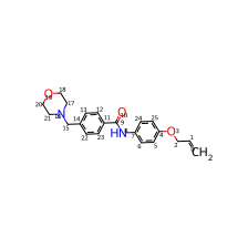 C=CCOc1ccc(NC(=O)c2ccc(CN3CCOCC3)cc2)cc1